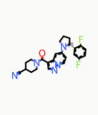 N#CC1CCN(C(=O)c2cnn3ccc(N4CCC[C@@H]4c4cc(F)ccc4F)cc23)CC1